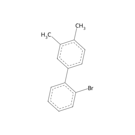 Cc1ccc(-c2ccccc2Br)cc1C